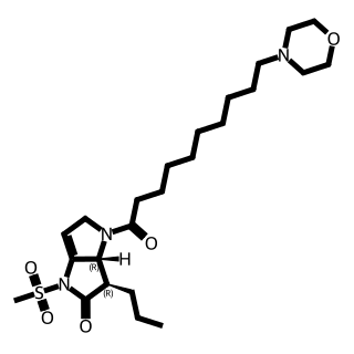 CCC[C@H]1C(=O)N(S(C)(=O)=O)C2=CCN(C(=O)CCCCCCCCCN3CCOCC3)[C@@H]21